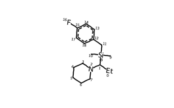 CCC(N1CCCCC1)[Si](C)(C)Cc1ccc(F)cc1